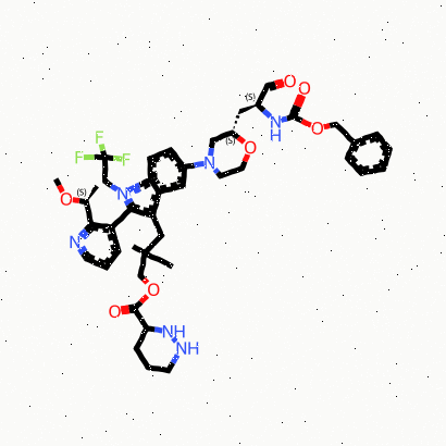 CO[C@@H](C)c1ncccc1-c1c(CC(C)(C)COC(=O)C2CCCNN2)c2cc(N3CCO[C@@H](C[C@@H](C=O)NC(=O)OCc4ccccc4)C3)ccc2n1CC(F)(F)F